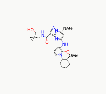 CNc1cc(Nc2cccn(C3CCCC[C@@H]3OC)c2=O)nc2c(C(=O)NCC3(CO)CC3)cnn12